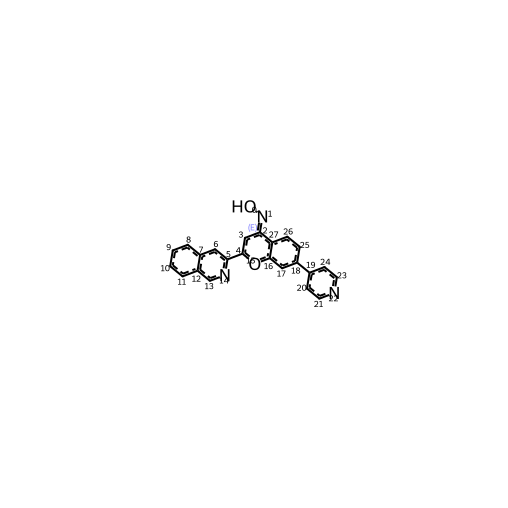 O/N=c1\cc(-c2cc3ccccc3cn2)oc2cc(-c3ccncc3)ccc12